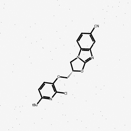 CC(C)(C)c1ccc(OC[C@@H]2Cn3c(nc4cc(C#N)ccc43)O2)c(Cl)n1